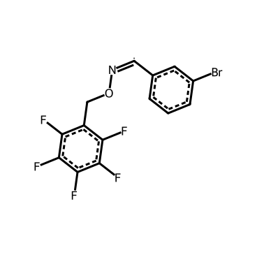 Fc1c(F)c(F)c(CO/N=[C]\c2cccc(Br)c2)c(F)c1F